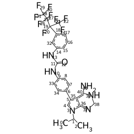 CC(C)n1cc(-c2ccc(NC(=O)Nc3cccc(C(F)(C(F)(F)F)C(F)(F)C(F)(F)F)c3)cc2)c2c1=NCNC=2N